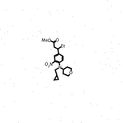 CCC(CC(=O)OC)c1ccc(N(CC2CC2)C2CCOCC2)c([N+](=O)[O-])c1